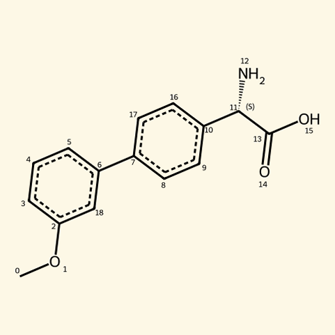 COc1cccc(-c2ccc([C@H](N)C(=O)O)cc2)c1